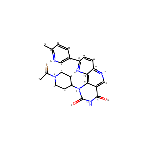 CC(=S)N1CCC(n2c(=O)[nH]c(=O)c3cnc4ccc(-c5ccc(C)nc5)nc4c32)CC1